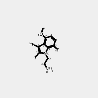 COc1ccc(F)c2c1c(F)c(C)n2CCN